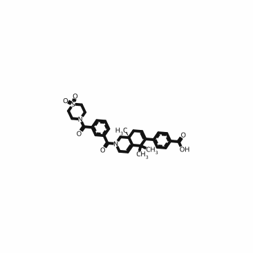 CC1(C)C(c2ccc(C(=O)O)cc2)=CC[C@]2(C)CN(C(=O)c3cccc(C(=O)N4CCS(=O)(=O)CC4)c3)CC=C12